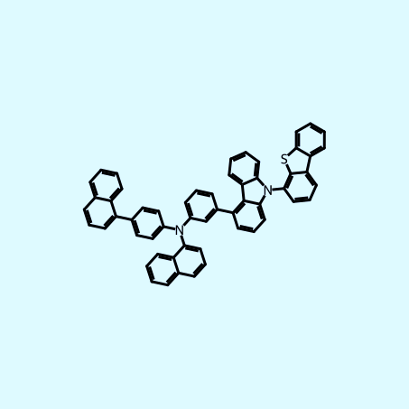 c1cc(-c2cccc3c2c2ccccc2n3-c2cccc3c2sc2ccccc23)cc(N(c2ccc(-c3cccc4ccccc34)cc2)c2cccc3ccccc23)c1